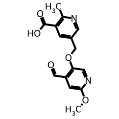 COc1cc(C=O)c(OCc2cnc(C)c(C(=O)O)c2)cn1